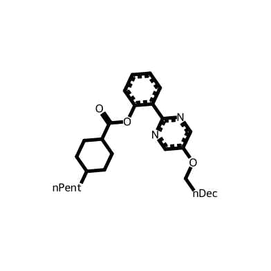 CCCCCCCCCCCOc1cnc(-c2ccccc2OC(=O)C2CCC(CCCCC)CC2)nc1